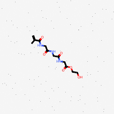 C=C(C)C(=O)NCC(=O)NCC(=O)NCC(=O)OCCO